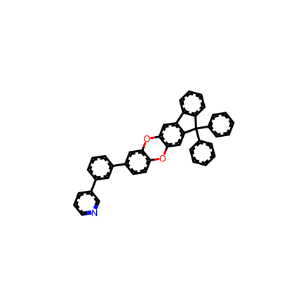 c1ccc(C2(c3ccccc3)c3ccccc3-c3cc4c(cc32)Oc2ccc(-c3cccc(-c5cccnc5)c3)cc2O4)cc1